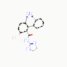 N#Cc1ccccc1-c1c(C#N)ccc(O)c1C(=O)NC1=NCCN1